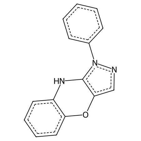 c1ccc(-n2ncc3c2Nc2ccccc2O3)cc1